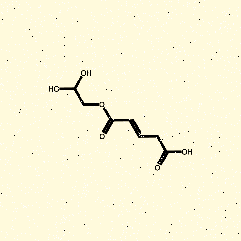 O=C(O)CC=CC(=O)OCC(O)O